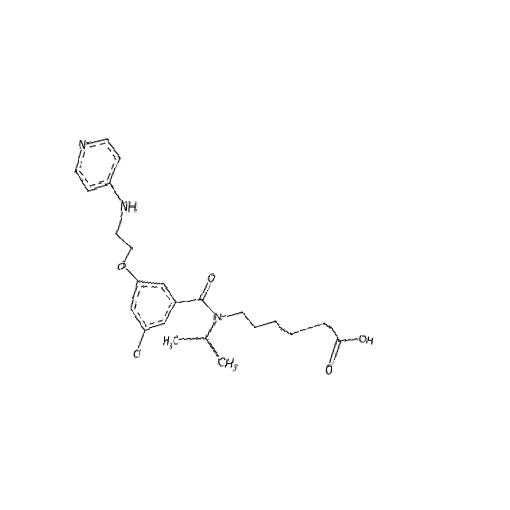 CC(C)N(CCCCCC(=O)O)C(=O)c1cc(Cl)cc(OCCNc2ccncc2)c1